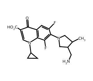 CC1CN(c2c(F)cc3c(=O)c(C(=O)O)cn(C4CC4)c3c2F)CC1CN